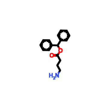 NCCCC(=O)OC(c1ccccc1)c1ccccc1